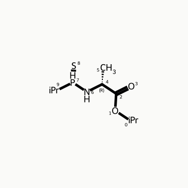 CC(C)OC(=O)[C@@H](C)N[PH](=S)C(C)C